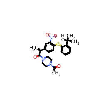 C=C(C(=O)N1CCN(C(C)=O)CC1)c1ccc(Sc2ccccc2C(C)(C)C)c([N+](=O)[O-])c1